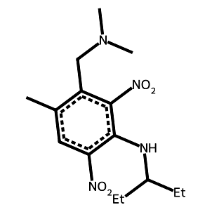 CCC(CC)Nc1c([N+](=O)[O-])cc(C)c(CN(C)C)c1[N+](=O)[O-]